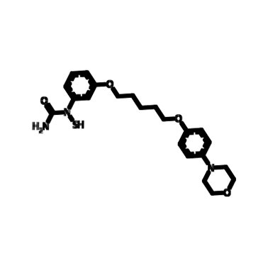 NC(=O)N(S)c1cccc(OCCCCCOc2ccc(N3CCOCC3)cc2)c1